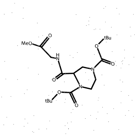 COC(=O)CNC(=O)C1CN(C(=O)OC(C)(C)C)CCN1C(=O)OC(C)(C)C